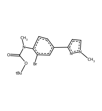 CN(C(=O)OC(C)(C)C)c1ccc(-c2ccn(C)n2)cc1Br